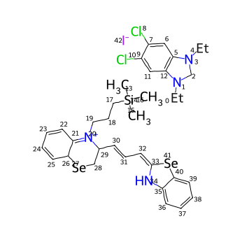 CCN1CN(CC)c2cc(Cl)c(Cl)cc21.C[Si](C)(C)CCC[N+]1=C2C=CC=CC2[Se]CC1C=CC=C1Nc2ccccc2[Se]1.[I-]